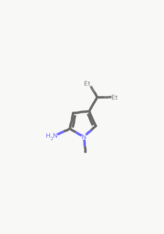 CCC(CC)c1cc(N)n(C)c1